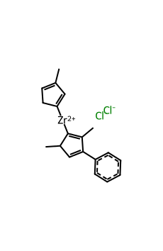 CC1=CC[C]([Zr+2][C]2=C(C)C(c3ccccc3)=CC2C)=C1.[Cl-].[Cl-]